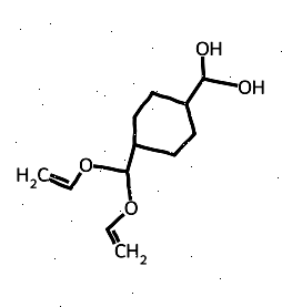 C=COC(OC=C)C1CCC(C(O)O)CC1